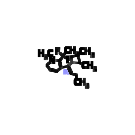 CC/C=C(/C1=C(C(C)(F)F)N(C)CC=C1)C1CC(C)C1C